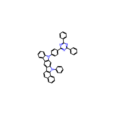 c1ccc(-c2nc(-c3ccccc3)nc(-c3ccc(-n4c5ccccc5c5cc6c7ccc8ccccc8c7n(-c7ccccc7)c6cc54)cc3)n2)cc1